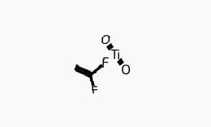 C=C(F)F.[O]=[Ti]=[O]